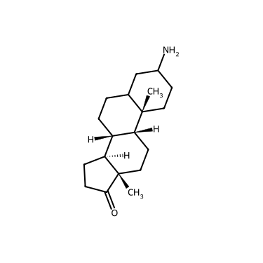 C[C@]12CCC(N)CC1CC[C@@H]1[C@H]2CC[C@]2(C)C(=O)CC[C@@H]12